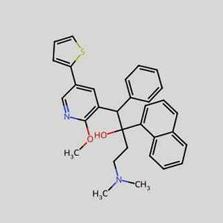 COc1ncc(-c2cccs2)cc1C(c1ccccc1)C(O)(CCN(C)C)c1cccc2ccccc12